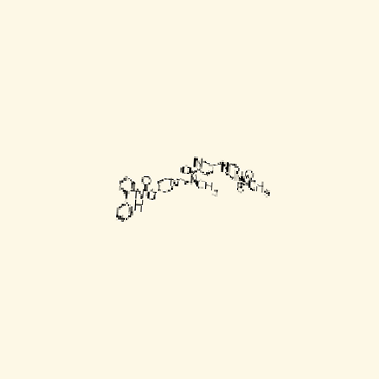 CN(CCN1CCC(OC(=O)Nc2ccccc2-c2ccccc2)CC1)C(=O)c1ccc(CN2CCN(S(C)(=O)=O)CC2)cn1